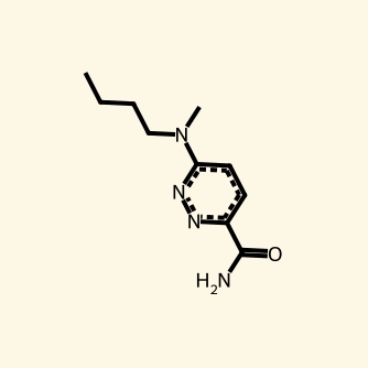 CCCCN(C)c1ccc(C(N)=O)nn1